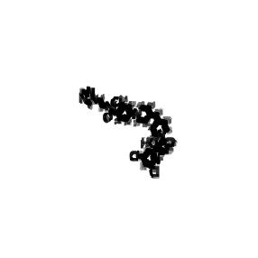 O=C(NCCn1cncn1)c1ccc(N2CCC(CC3CCN(C(=O)[C@](O)(c4cc(Cl)cc(Cl)c4)C(F)F)CC3)CC2)cc1Cl